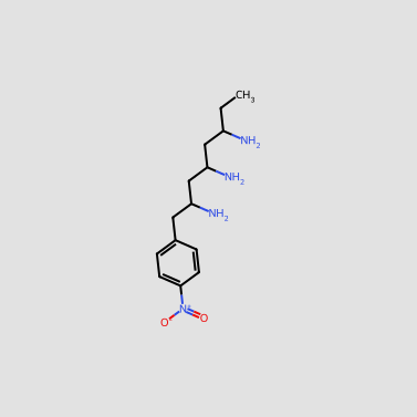 CCC(N)CC(N)CC(N)Cc1ccc([N+](=O)[O-])cc1